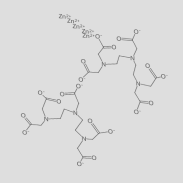 O=C([O-])CN(CCN(CC(=O)[O-])CC(=O)[O-])CCN(CC(=O)[O-])CC(=O)[O-].O=C([O-])CN(CCN(CC(=O)[O-])CC(=O)[O-])CCN(CC(=O)[O-])CC(=O)[O-].[Zn+2].[Zn+2].[Zn+2].[Zn+2].[Zn+2]